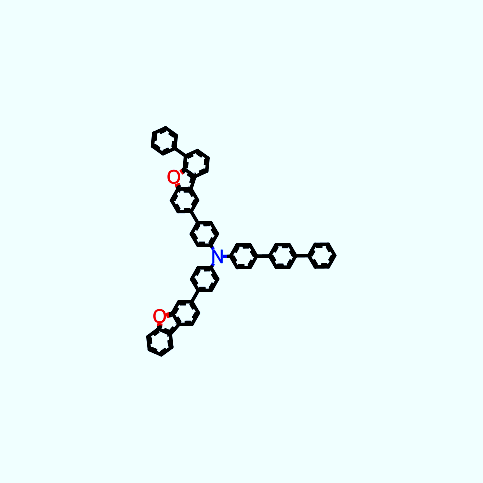 c1ccc(-c2ccc(-c3ccc(N(c4ccc(-c5ccc6c(c5)oc5ccccc56)cc4)c4ccc(-c5ccc6oc7c(-c8ccccc8)cccc7c6c5)cc4)cc3)cc2)cc1